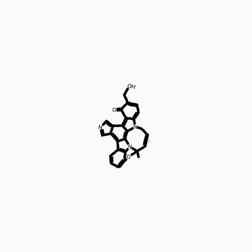 CC12/C=C\Cn3c4c(c5c6c(c7c8ccc(cc8n1c7c53)O2)C=NC=6)C(=O)C(CO)=CC=4